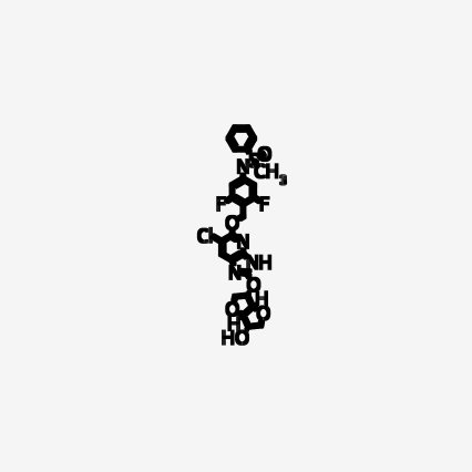 CS(=O)(=Nc1cc(F)c(COc2nc3[nH]c(O[C@@H]4CO[C@H]5[C@@H]4OC[C@H]5O)nc3cc2Cl)c(F)c1)c1ccccc1